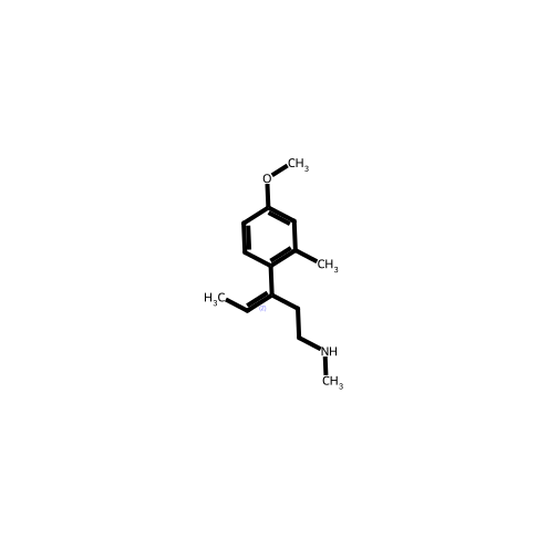 C/C=C(/CCNC)c1ccc(OC)cc1C